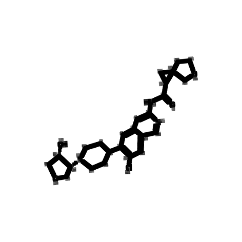 O=C(Nc1cc2cc(C3CCN([C@@H]4COC[C@@H]4O)CC3)c(Cl)cc2cn1)C1CC12CCOC2